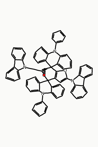 c1ccc(N2c3ccccc3C3(c4ccccc42)c2cc(-n4c5ccccc5c5ccccc54)oc2C2(c4ccccc4N(c4ccccc4)c4ccccc42)c2cc(-n4c5ccccc5c5ccccc54)oc23)cc1